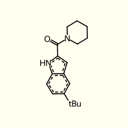 CC(C)(C)c1ccc2[nH]c(C(=O)N3CCCCC3)cc2c1